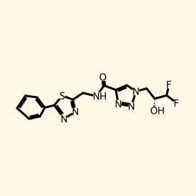 O=C(NCc1nnc(-c2ccccc2)s1)c1cn(C[C@@H](O)C(F)F)nn1